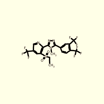 CCS(=O)(=O)c1cc(C(F)(F)F)cnc1-c1nnc(-c2ccc(C(F)(F)F)c(C(F)(F)F)c2)n1C